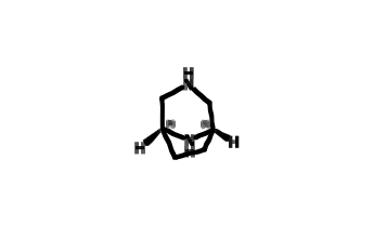 C1C[C@H]2CNC[C@@H]1N2